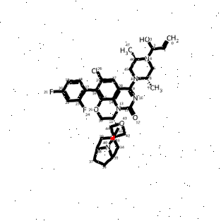 C=CC(O)N1C[C@H](C)N(c2nc(=O)n3c4c(c(-c5ccc(F)cc5F)c(Cl)cc24)OC[C@H]3CN2CC3CCC(C2)N3C2COC2)C[C@H]1C